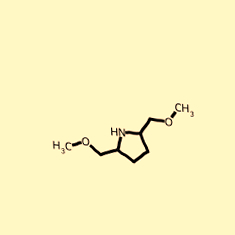 COCC1CCC(COC)N1